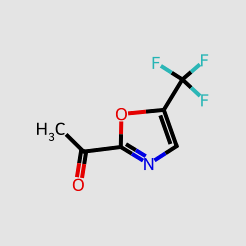 CC(=O)c1ncc(C(F)(F)F)o1